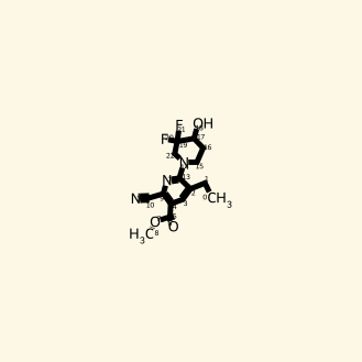 CCc1cc(C(=O)OC)c(C#N)nc1N1CCC(O)C(F)(F)C1